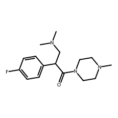 CN(C)CC(C(=O)N1CCN(C)CC1)c1ccc(F)cc1